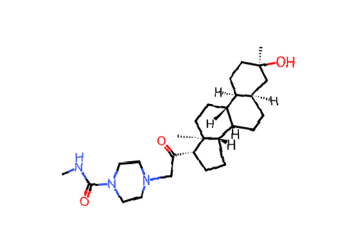 CNC(=O)N1CCN(CC(=O)[C@H]2CC[C@H]3[C@@H]4CC[C@@H]5C[C@](C)(O)CC[C@@H]5[C@H]4CC[C@]23C)CC1